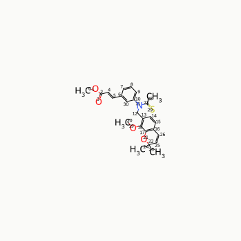 COC(=O)/C=C/c1cccc(N(Cc2ccc3c(c2OC)OC(C)(C)C=C3)C(C)=S)c1